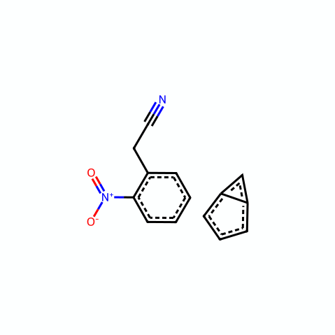 N#CCc1ccccc1[N+](=O)[O-].c1cc2cc-2c1